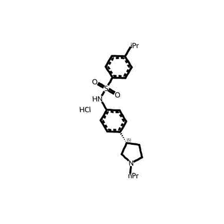 CCCN1CC[C@@H](c2ccc(NS(=O)(=O)c3ccc(C(C)C)cc3)cc2)C1.Cl